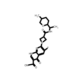 CC1CCC(C(C)NC(=O)C2CN(c3nc4[nH]cc(C(=O)N=O)c(=O)c4cc3F)C2)OC1